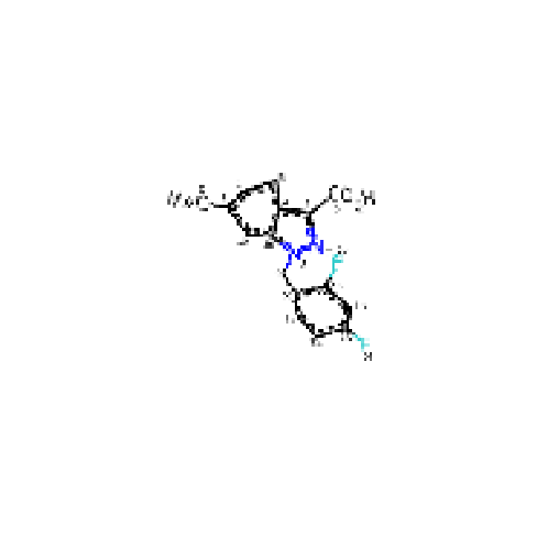 COc1ccc2c(C(=O)O)nn(Cc3ccc(F)cc3F)c2c1